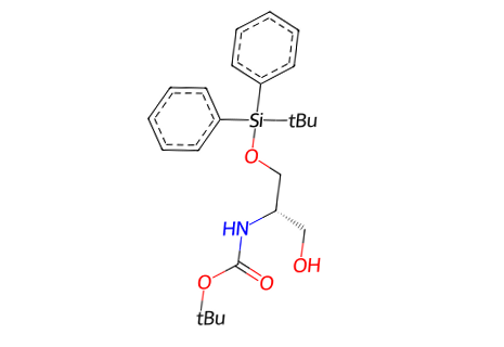 CC(C)(C)OC(=O)N[C@@H](CO)CO[Si](c1ccccc1)(c1ccccc1)C(C)(C)C